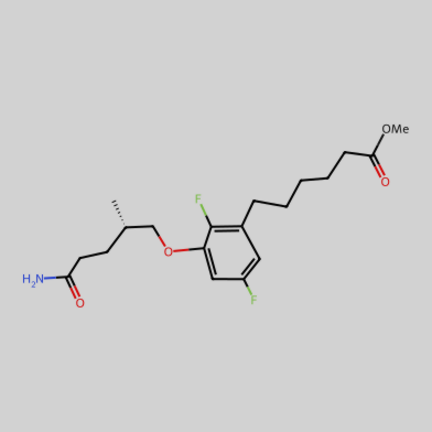 COC(=O)CCCCCc1cc(F)cc(OC[C@@H](C)CCC(N)=O)c1F